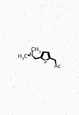 CC(=O)Cc1ccc(CN(C)C)s1